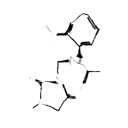 COc1ccccc1N(CN1C(=O)CN(C)C1=O)C(C)=O